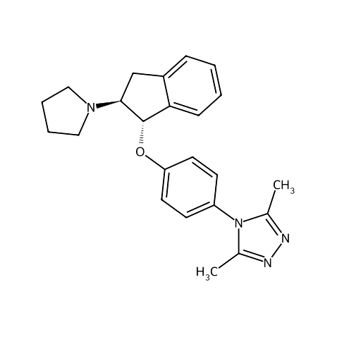 Cc1nnc(C)n1-c1ccc(O[C@H]2c3ccccc3C[C@@H]2N2CCCC2)cc1